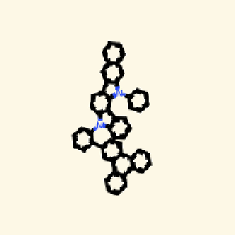 c1ccc(-n2c3cc4ccccc4cc3c3ccc4c(c5ccccc5n4-c4ccccc4-c4ccc5c6ccccc6c6ccccc6c5c4)c32)cc1